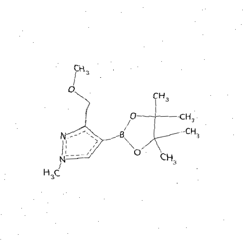 COCc1nn(C)cc1B1OC(C)(C)C(C)(C)O1